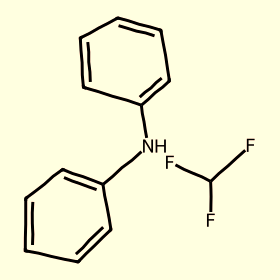 FC(F)F.c1ccc(Nc2ccccc2)cc1